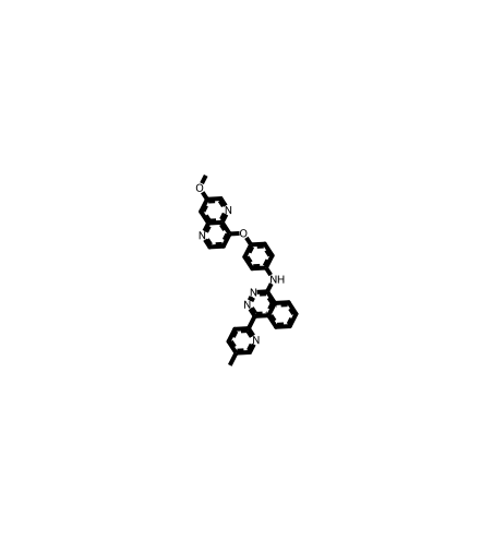 COc1cnc2c(Oc3ccc(Nc4nnc(-c5ccc(C)cn5)c5ccccc45)cc3)ccnc2c1